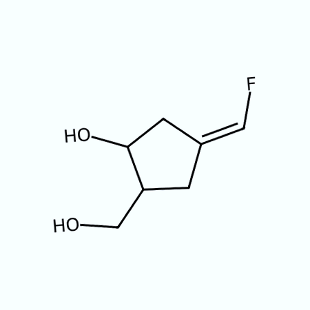 OCC1C/C(=C/F)CC1O